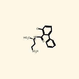 O=C(N[C@@H](CCS(=O)(=O)O)C(=O)O)c1c(Cl)cccc1-c1ccccc1